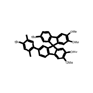 COc1cc2c(cc1OC)C1(c3cc(-c4cc(C)c(C(C)(C)C)cc4C)ccc3-2)c2cc(C(C)(C)C)ccc2-c2cc(OC)c(OC)cc21